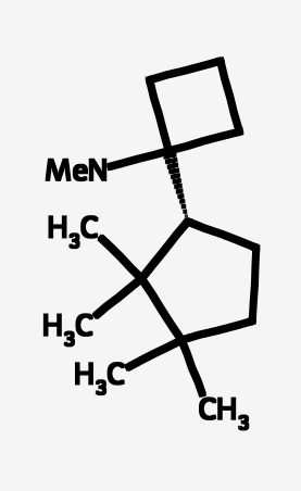 CNC1([C@@H]2CCC(C)(C)C2(C)C)CCC1